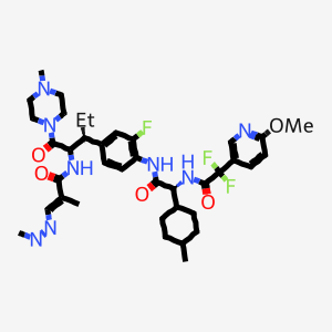 CC[C@@H](c1ccc(NC(=O)[C@@H](NC(=O)C(F)(F)c2ccc(OC)nc2)C2CCC(C)CC2)c(F)c1)C(NC(=O)/C(C)=C/N=N\C)C(=O)N1CCN(C)CC1